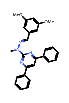 COc1cc(C=NN(C)c2nc(-c3ccccc3)cc(-c3ccccc3)n2)cc(OC)c1